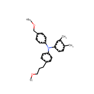 CCCCOCc1ccc(N(c2ccc(CCCOCC)cc2)c2ccc(C)c(C)c2)cc1